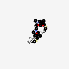 C=Cc1ccc(Sc2ccc(C3(c4cc(C)ccc4C)c4ccccc4-c4ccc(N(c5ccccc5)c5ccc(-c6ccc(N(c7ccccc7)c7ccc8c(c7)C(c7ccc(Sc9ccc(C=C)cc9)cc7)(c7cc(C)ccc7C)C7C=CC=CC87)cc6)cc5)cc43)cc2)cc1